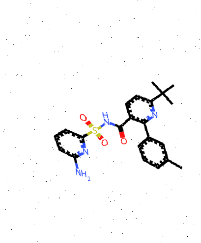 Cc1cccc(-c2nc(C(C)(C)C)ccc2C(=O)NS(=O)(=O)c2cccc(N)n2)c1